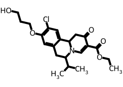 CCOC(=O)C1=CN2C(CC1=O)c1cc(Cl)c(OCCCO)cc1CC2C(C)C